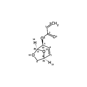 C=CC(=O)O[C@H]1C=C[C@H]2CO[C@@H]1O2